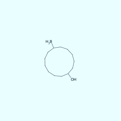 BC1CCCCCCC(O)CCCCC1